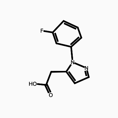 O=C(O)Cc1ccnn1-c1cccc(F)c1